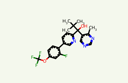 Cc1ncncc1C(O)(c1ccc(-c2ccc(OC(F)(F)F)cc2F)cn1)C(C)(C)C